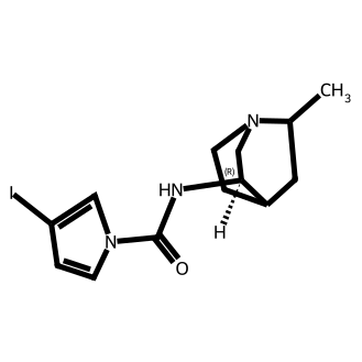 CC1CC2CCN1C[C@@H]2NC(=O)n1ccc(I)c1